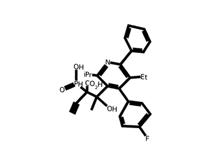 C#CC(C(=O)O)([PH](=O)O)C(C)(O)c1c(C(C)C)nc(-c2ccccc2)c(CC)c1-c1ccc(F)cc1